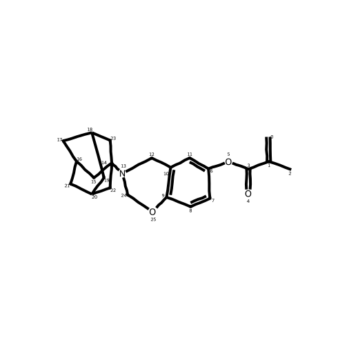 C=C(C)C(=O)Oc1ccc2c(c1)CN(C13CC4CC(CC(C4)C1)C3)CO2